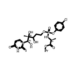 CC(C)OC(=O)[C@H](C)NP(=O)(OCCC(O)[C@@](C)(O)[C@@H](O)n1ccc(=O)[nH]c1=S)Oc1ccc(Cl)cc1